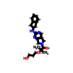 CC(C)(OCCCO)C(=O)N1Cc2cnc(NC3Cc4ccccc4C3)nc2C1